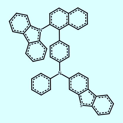 c1ccc(N(c2ccc(-c3c(-n4c5ccccc5c5ccccc54)ccc4ccccc34)cc2)c2ccc3c(c2)sc2ccccc23)cc1